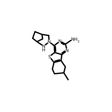 CC1CCc2sc3c(N4CC5CCC(C5)N4)nc(N)nc3c2C1